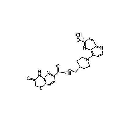 COc1ccc2nccc(N3CCC(CCNC(=O)c4ccc5c(n4)NC(=O)CS5)CC3)c2n1